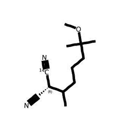 COC(C)(C)CCCC(C)[C@H](C#N)[14C]#N